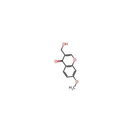 COc1ccc2c(=O)c(CO)coc2c1